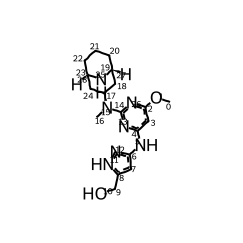 COc1cc(Nc2cc(CO)[nH]n2)nc(N(C)[C@@H]2C[C@H]3CCC[C@@H](C2)N3)n1